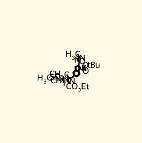 CCOC(=O)c1nc(-c2ccc3c(c2)cc(-c2nc(C)no2)n3C(=O)OC(C)(C)C)c(C)n1COCC[Si](C)(C)C